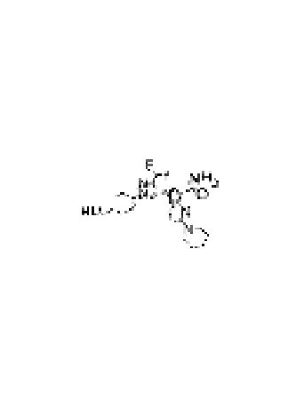 NC(=O)c1cn(-c2cn(C3CCC(CO)CC3)nc2C(F)F)[n+]2ccc(N3CCCCC3)nc12